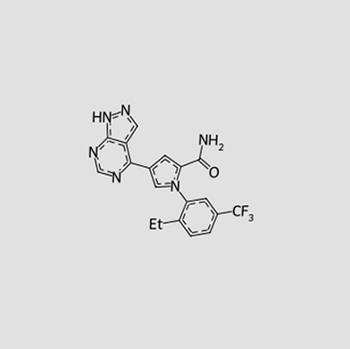 CCc1ccc(C(F)(F)F)cc1-n1cc(-c2ncnc3[nH]ncc23)cc1C(N)=O